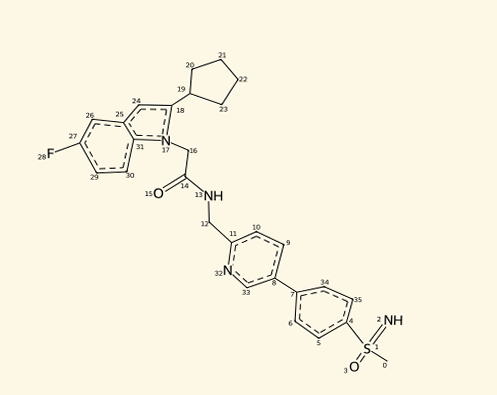 CS(=N)(=O)c1ccc(-c2ccc(CNC(=O)Cn3c(C4CCCC4)cc4cc(F)ccc43)nc2)cc1